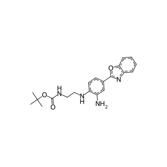 CC(C)(C)OC(=O)NCCNc1ccc(-c2nc3ccccc3o2)cc1N